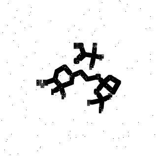 NC1CCN(CCOC2(OC(F)(F)F)CCC2)CC1(F)F.O=C(O)C(F)(F)F